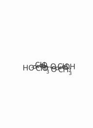 CC(C)(c1ccc(O)cc1)c1ccc(OC(=O)CCCCC(=O)Oc2ccc(C(C)(C)c3ccc(O)cc3)cc2)cc1